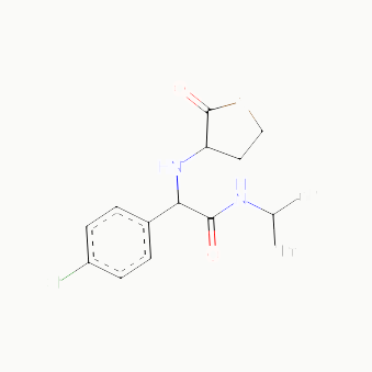 CCCC(CCC)NC(=O)C(NC1CCSC1=O)c1ccc(Cl)cc1